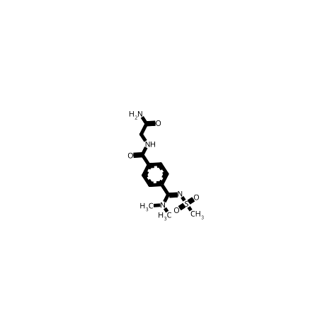 CN(C)C(=NS(C)(=O)=O)c1ccc(C(=O)NCC(N)=O)cc1